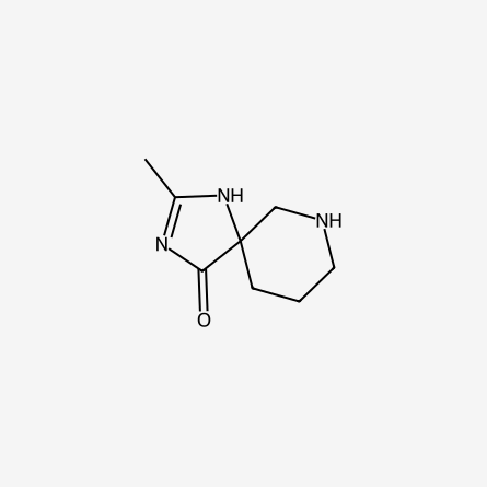 CC1=NC(=O)C2(CCCNC2)N1